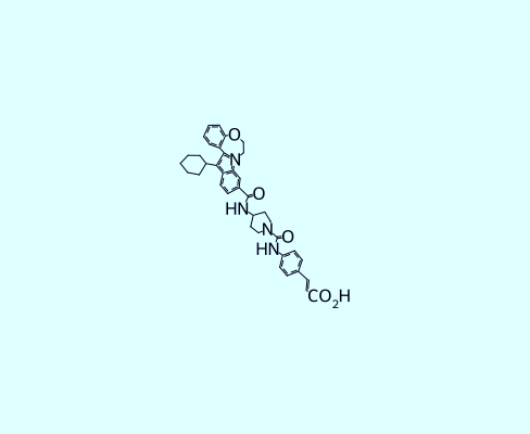 O=C(O)/C=C/c1ccc(NC(=O)N2CCC(NC(=O)c3ccc4c(C5CCCCC5)c5n(c4c3)CCOc3ccccc3-5)CC2)cc1